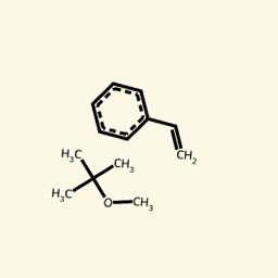 C=Cc1ccccc1.COC(C)(C)C